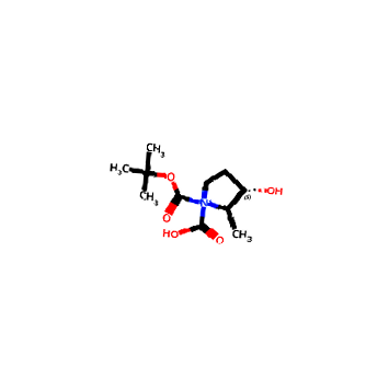 CC1[C@@H](O)CC[N+]1(C(=O)O)C(=O)OC(C)(C)C